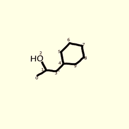 CC(O)[CH]C1CCCCC1